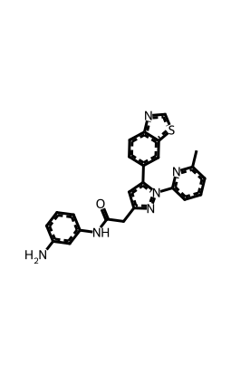 Cc1cccc(-n2nc(CC(=O)Nc3cccc(N)c3)cc2-c2ccc3ncsc3c2)n1